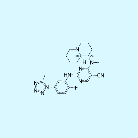 Cc1nnnn1-c1ccc(F)c(Nc2ncc(C#N)c(N(C)[C@H]3CCCN4CCCC[C@H]34)n2)c1